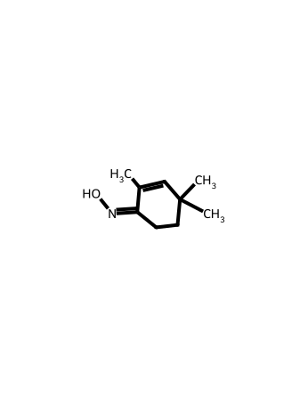 CC1=CC(C)(C)CC/C1=N/O